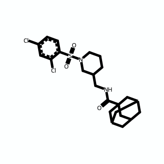 O=C(NCC1CCCN(S(=O)(=O)c2ccc(Cl)cc2Cl)C1)C12CC3CC(CC(C3)C1)C2